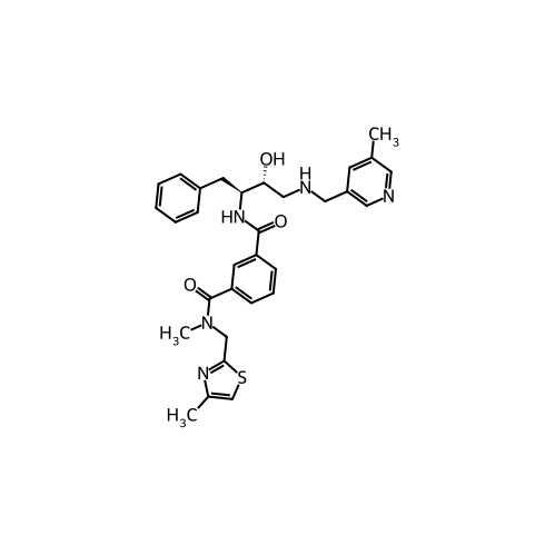 Cc1cncc(CNC[C@@H](O)[C@H](Cc2ccccc2)NC(=O)c2cccc(C(=O)N(C)Cc3nc(C)cs3)c2)c1